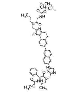 CCCN(Cc1nc2c([nH]1)-c1ccc(-c3ccc4cc(-c5cnc(CN(CCC)C(=O)[C@H](NC(=O)OC)c6ccccc6)[nH]5)ccc4c3)cc1CC2)C(=O)CNC(=O)OC(C)(C)C